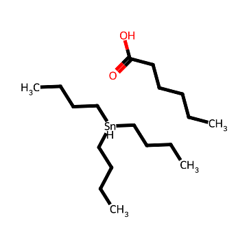 CCCCCC(=O)O.CCC[CH2][SnH]([CH2]CCC)[CH2]CCC